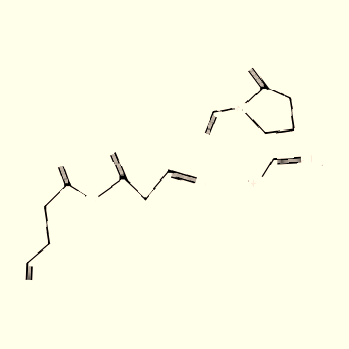 C=CC#N.C=CCCC(=O)OC(=O)CC=C.C=CN1CCCC1=O